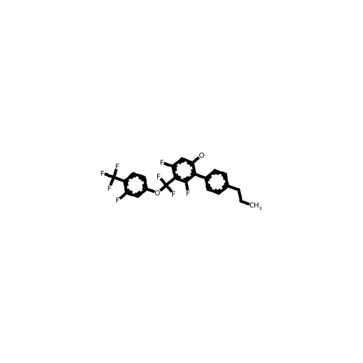 CCCc1ccc(-c2c([O])cc(F)c(C(F)(F)Oc3ccc(C(F)(F)F)c(F)c3)c2F)cc1